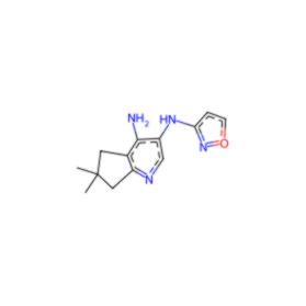 CC1(C)Cc2ncc(Nc3ccon3)c(N)c2C1